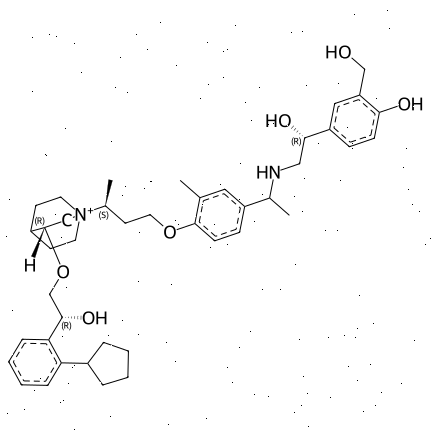 Cc1cc(C(C)NC[C@H](O)c2ccc(O)c(CO)c2)ccc1OCC[C@H](C)[N+]12CCC(CC1)[C@@H](OC[C@H](O)c1ccccc1C1CCCC1)C2